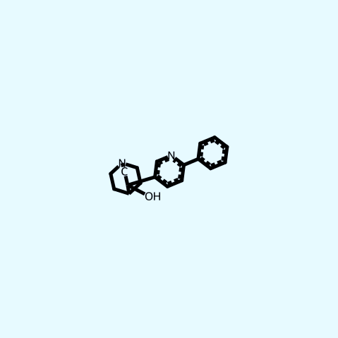 OC1(c2ccc(-c3ccccc3)nc2)CN2CCC1CC2